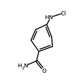 NC(=O)c1ccc(NCl)cc1